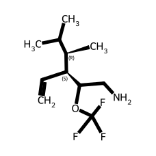 C=C[C@H](C(CN)OC(F)(F)F)[C@H](C)C(C)C